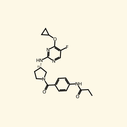 CCC(=O)Nc1ccc(C(=O)N2CC[C@H](Nc3ncc(F)c(OC4CC4)n3)C2)cc1